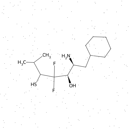 CC(C)C(S)C(F)(F)[C@H](O)[C@@H](N)CC1CCCCC1